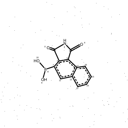 O=C1NC(=O)c2c1c(B(O)O)cc1ccccc21